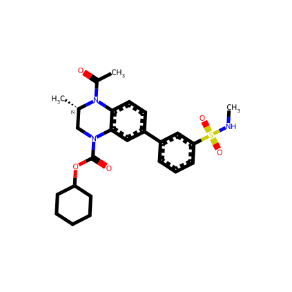 CNS(=O)(=O)c1cccc(-c2ccc3c(c2)N(C(=O)OC2CCCCC2)C[C@H](C)N3C(C)=O)c1